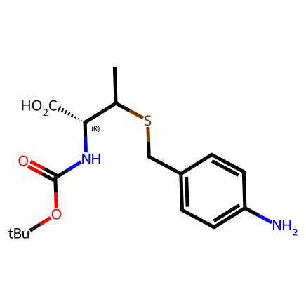 CC(SCc1ccc(N)cc1)[C@H](NC(=O)OC(C)(C)C)C(=O)O